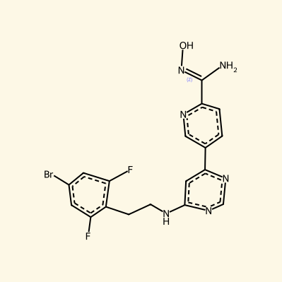 N/C(=N\O)c1ccc(-c2cc(NCCc3c(F)cc(Br)cc3F)ncn2)cn1